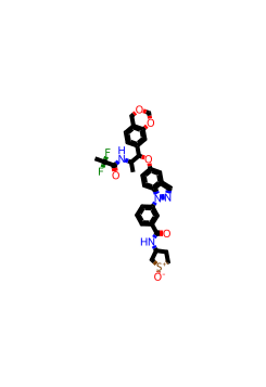 CC(NC(=O)C(C)(F)F)C(Oc1ccc2c(cnn2-c2cccc(C(=O)NC3CC[S+]([O-])C3)c2)c1)c1ccc2c(c1)OCOC2